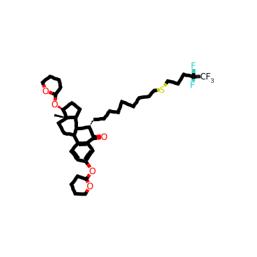 C[C@]12CCC3c4ccc(OC5CCCCO5)cc4C(=O)[C@@H](CCCCCCCCCSCCCC(F)(F)C(F)(F)F)C3C1CC[C@@H]2OC1CCCCO1